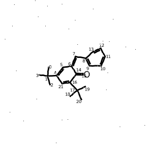 CC(C)(C)C1=CC(=Cc2ccccc2)C(=O)C(C(C)(C)C)=C1